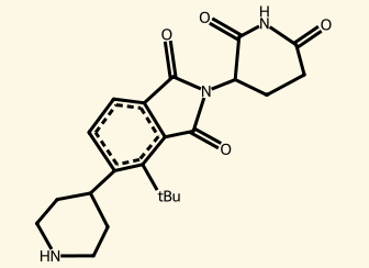 CC(C)(C)c1c(C2CCNCC2)ccc2c1C(=O)N(C1CCC(=O)NC1=O)C2=O